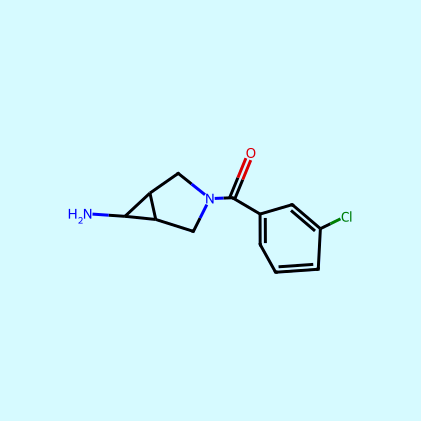 NC1C2CN(C(=O)c3cccc(Cl)c3)CC12